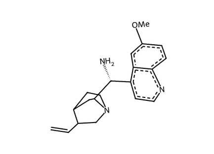 C=CC1CN2CCC1CC2[C@H](N)c1ccnc2ccc(OC)cc12